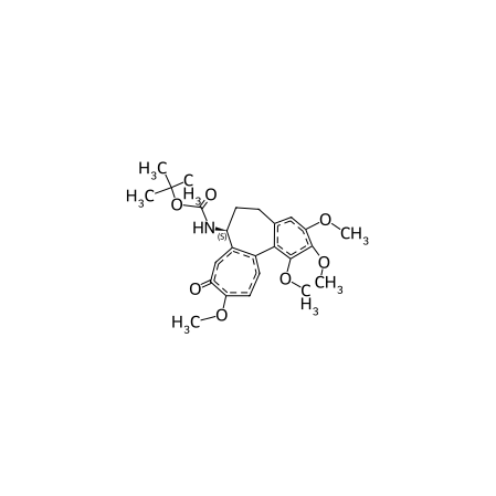 COc1cc2c(c(OC)c1OC)-c1ccc(OC)c(=O)cc1[C@@H](NC(=O)OC(C)(C)C)CC2